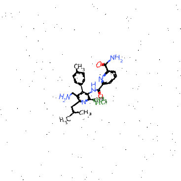 Cc1ccc(-c2c(CN)c(CC(C)C)nc(C)c2NC(=O)c2cccc(C(N)=O)n2)cc1.Cl.Cl